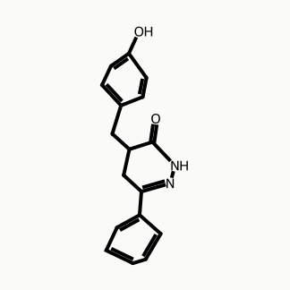 O=C1NN=C(c2ccccc2)CC1Cc1ccc(O)cc1